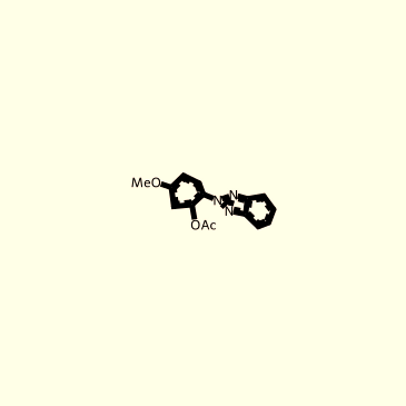 COc1ccc(-n2n3c4ccccc4n23)c(OC(C)=O)c1